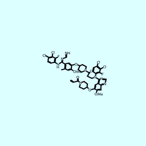 C=CC(=O)N1CCC(Oc2cc3c(N(CCC(=O)N4CCC(Oc5cc(/C(=N\C=N)Nc6ccc(Cl)c(Cl)c6F)c(C)cc5OC)CC4)c4ccc(Cl)c(Cl)c4F)ncnc3cc2OC)CC1